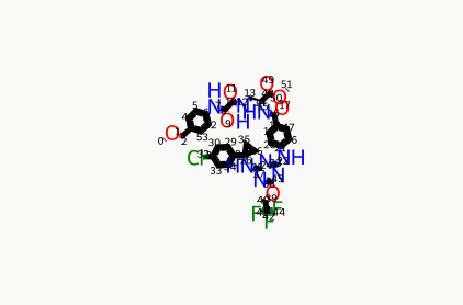 COCc1ccc(NC(=O)C(=O)NC[C@H](NC(=O)c2ccc(Nc3nc(NC4(c5ccc(Cl)cc5)CC4)nc(OCC(F)(F)F)n3)cc2)C(=O)OC)cc1